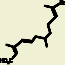 CCC(C)=CCCC(C)CC=CC(C)=CC(=O)O